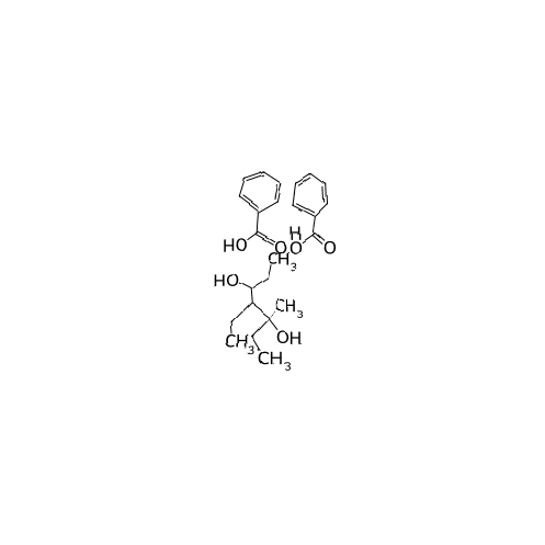 CCC(O)C(CC)C(C)(O)CC.O=C(O)c1ccccc1.O=C(O)c1ccccc1